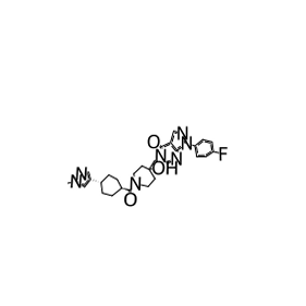 Cn1cc([C@H]2CC[C@H](C(=O)N3CCC(O)(Cn4cnc5c(cnn5-c5ccc(F)cc5)c4=O)CC3)CC2)cn1